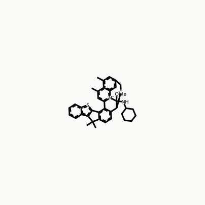 COC1(NC2CCCCC2)C2CCc3cc(C)c4c(C)cc([n+]1c4c3)-c1c2ccc2c1-c1sc3ccccc3c1C2(C)C